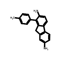 Cc1ccc(-c2c(N)ccc3c2Cc2cc(N)ccc2-3)cc1